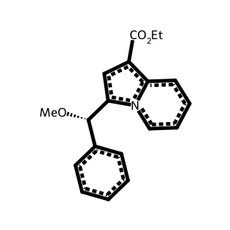 CCOC(=O)c1cc([C@@H](OC)c2ccccc2)n2ccccc12